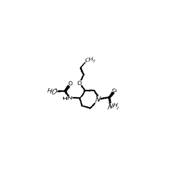 CCCOC1CN(C(N)=O)CCC1NC(=O)O